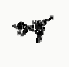 COc1cc(S(C)(=O)=O)ccc1NCC#Cc1cc(C(=O)N[C@H]2CCN(CCC#N)C[C@@H]2C)c2ncn(CC(F)(F)F)c2c1